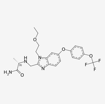 CCOCCn1c(CN[C@@H](C)C(N)=O)nc2ccc(Oc3ccc(OC(F)(F)F)cc3)cc21